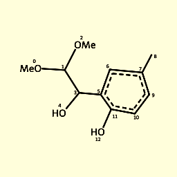 COC(OC)C(O)c1cc(C)ccc1O